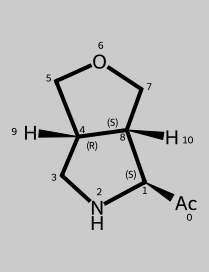 CC(=O)[C@H]1NC[C@@H]2COC[C@@H]21